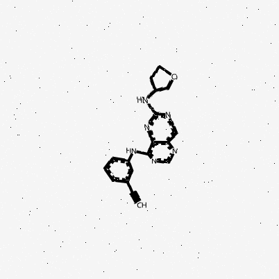 C#Cc1cccc(Nc2ncnc3cnc(NC4CCOC4)nc23)c1